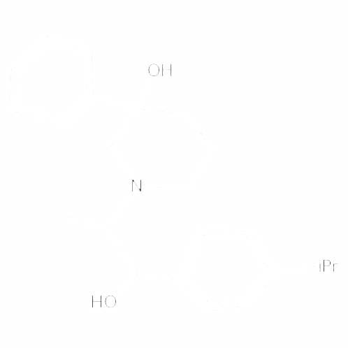 CC(C)c1ccc(C(O)C(C)N2CCCC(O)(c3ccccc3)C2)cc1